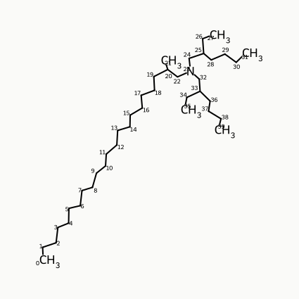 CCCCCCCCCCCCCCCCCCCCC(C)CN(CC(CC)CCCC)CC(CC)CCCC